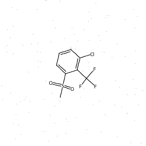 CS(=O)(=O)c1cc[c]c(Cl)c1C(F)(F)F